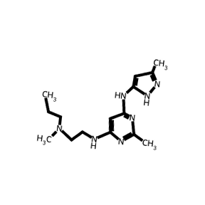 CCCN(C)CCNc1cc(Nc2cc(C)n[nH]2)nc(C)n1